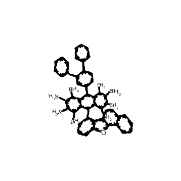 Bc1c(B)c(B)c2c(-c3cccc4oc5c6ccccc6ccc5c34)c3c(B)c(B)c(B)c(B)c3c(-c3ccc(-c4ccccc4)c(-c4ccccc4)c3)c2c1B